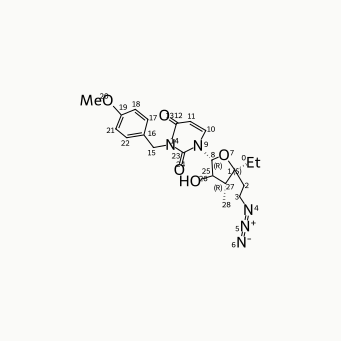 CC[C@@]1(CCN=[N+]=[N-])O[C@@H](n2ccc(=O)n(Cc3ccc(OC)cc3)c2=O)C(O)[C@H]1C